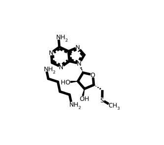 CSC[C@H]1O[C@@H](n2cnc3c(N)ncnc32)[C@H](O)[C@@H]1O.NCCCCN